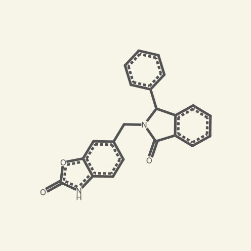 O=C1c2ccccc2C(c2ccccc2)N1Cc1ccc2[nH]c(=O)oc2c1